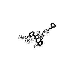 COc1cccc(-c2c(C)c(Cc3c(F)cccc3F)c3n(c2=O)C(CNCCCCc2ccccc2)CS3)c1F